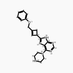 C1=C(COc2ccccc2)CC1c1nc2c(N3CCNCC3)ncnc2[nH]1